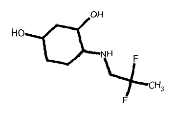 CC(F)(F)CNC1CCC(O)CC1O